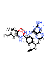 C#CCC(Cc1cnc2nc(N)nc(N)c2n1)c1ccc(C(=O)N[C@@H](CCC(C)C)C(=O)OC)cc1